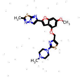 COc1cc(OCc2csc(N3CCN(C)CC3)n2)c2cc(-c3cn4nc(C)sc4n3)oc2c1